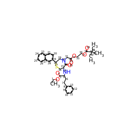 CCOC(=O)C(CCc1ccccc1)NC1CSC(c2ccc3ccccc3c2)CN(CC(=O)OCCOC(=O)C(C)(C)C)C1=O